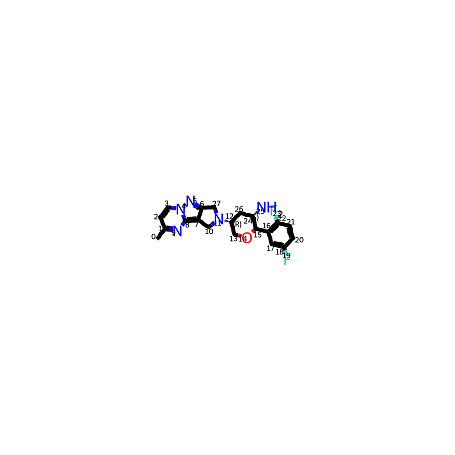 Cc1ccn2nc3c(c2n1)CN([C@H]1COC(c2cc(F)ccc2F)[C@@H](N)C1)C3